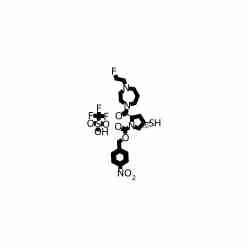 O=C([C@@H]1C[C@H](S)CN1C(=O)OCc1ccc([N+](=O)[O-])cc1)N1CCCN(CCF)CC1.O=S(=O)(O)C(F)(F)F